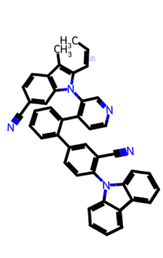 C/C=C\c1c(C)c2ccc(C#N)cc2n1-c1cnccc1-c1ccccc1-c1ccc(-n2c3ccccc3c3ccccc32)c(C#N)c1